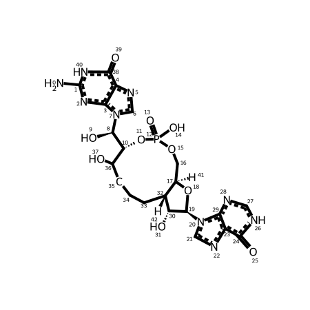 Nc1nc2c(ncn2[C@H](O)[C@@H]2OP(=O)(O)OC[C@H]3O[C@@H](n4cnc5c(=O)[nH]cnc54)[C@H](O)[C@@H]3CCCC2O)c(=O)[nH]1